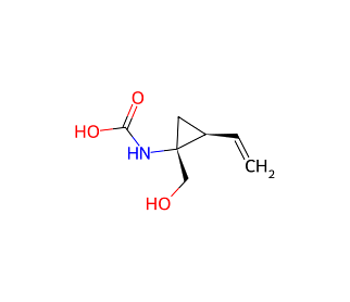 C=C[C@@H]1C[C@@]1(CO)NC(=O)O